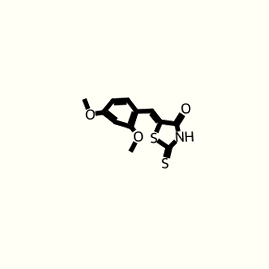 COc1ccc(/C=C2\SC(=S)NC2=O)c(OC)c1